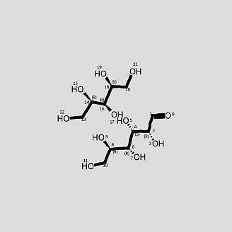 O=C[C@H](O)[C@@H](O)[C@H](O)[C@H](O)CO.OC[C@@H](O)[C@H](O)[C@@H](O)CO